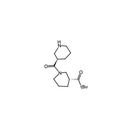 CC(C)(C)C(=O)[C@@H]1CCCN(C(=O)[C@@H]2CCCNC2)C1